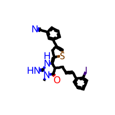 CN1C(=N)N/C(=C2\CC(c3cccc(C#N)c3)=CS2)C(C/C=C/c2ccccc2I)C1=O